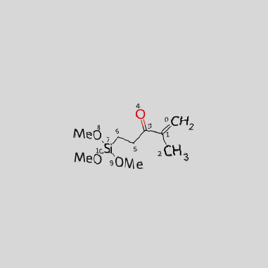 C=C(C)C(=O)CC[Si](OC)(OC)OC